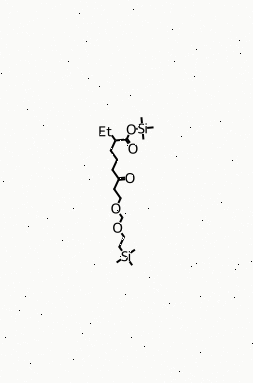 CCC(CCCC(=O)CCOCOCC[Si](C)(C)C)C(=O)O[Si](C)(C)C